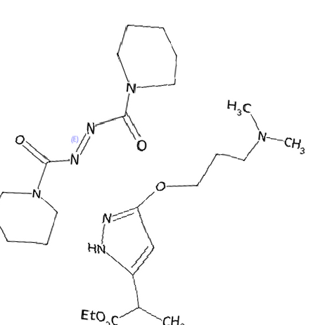 CCOC(=O)C(C)c1cc(OCCCN(C)C)n[nH]1.O=C(/N=N/C(=O)N1CCCCC1)N1CCCCC1